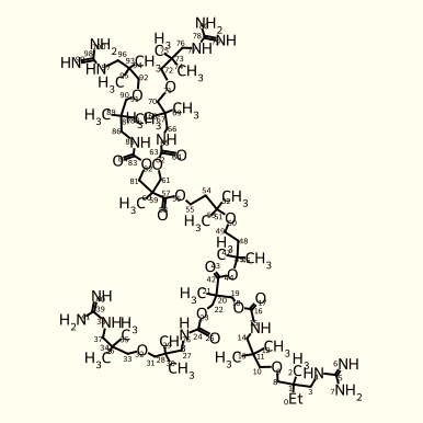 CCC(C)(CNC(=N)N)COCC(C)(C)CNC(=O)OCC(C)(COC(=O)NCC(C)(C)COCC(C)(C)CNC(=N)N)C(=O)OC(C)(C)CCOC(C)(C)CCOC(=O)C(C)(COC(=O)NCC(C)(C)COCC(C)(C)CNC(=N)N)COC(=O)NCC(C)(C)COCC(C)(C)CNC(=N)N